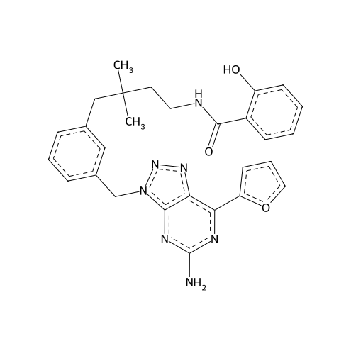 CC(C)(CCNC(=O)c1ccccc1O)Cc1cccc(Cn2nnc3c(-c4ccco4)nc(N)nc32)c1